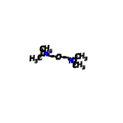 Cc1cc(C)c[n+](CCC#Cc2ccc(C#CCC[n+]3cc(C)cc(C)c3)cc2)c1